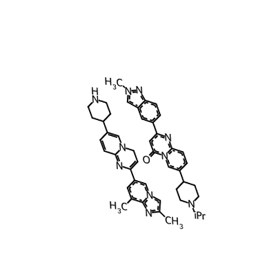 CC(C)N1CCC(c2ccc3nc(-c4ccc5nn(C)cc5c4)cc(=O)n3c2)CC1.Cc1cn2cc(C3=CCN4C=C(C5CCNCC5)C=CC4=N3)cc(C)c2n1